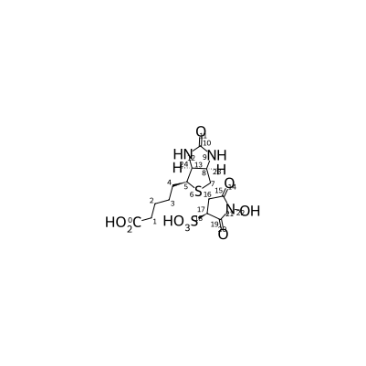 O=C(O)CCCC[C@@H]1SC[C@@H]2NC(=O)N[C@@H]21.O=C1C[C@H](S(=O)(=O)O)C(=O)N1O